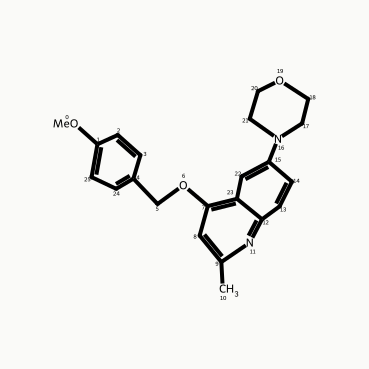 COc1ccc(COc2cc(C)nc3ccc(N4CCOCC4)cc23)cc1